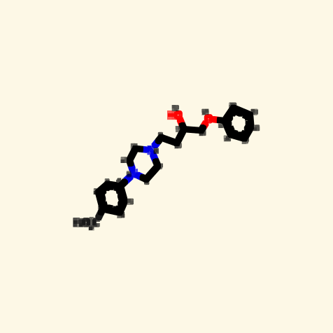 CCOC(=O)c1ccc(N2CCN(CCC(O)COc3ccccc3)CC2)cc1